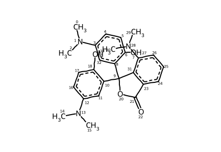 CN(C)c1ccc(O)c(C2(c3cc(N(C)C)ccc3O)OC(=O)c3cccc(N(C)C)c32)c1